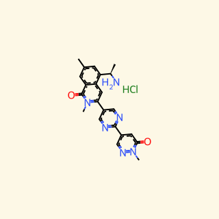 Cc1cc([C@@H](C)N)c2cc(-c3cnc(-c4cnn(C)c(=O)c4)nc3)n(C)c(=O)c2c1.Cl